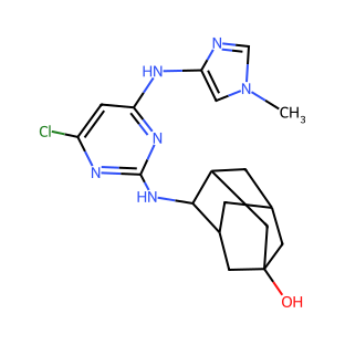 Cn1cnc(Nc2cc(Cl)nc(NC3C4CC5CC3CC(O)(C5)C4)n2)c1